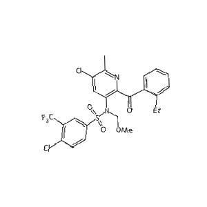 CCc1ccccc1C(=O)c1nc(C)c(Cl)cc1N(COC)S(=O)(=O)c1ccc(Cl)c(C(F)(F)F)c1